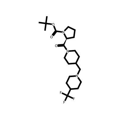 CC(C)(C)OC(=O)N1CCC[C@H]1C(=O)N1CCC(CN2CCC(C(F)(F)F)CC2)CC1